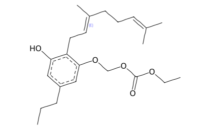 CCCc1cc(O)c(C/C=C(\C)CCC=C(C)C)c(OCOC(=O)OCC)c1